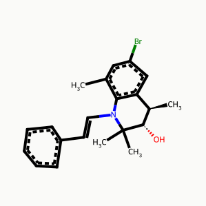 Cc1cc(Br)cc2c1N(/C=C/c1ccccc1)C(C)(C)[C@@H](O)[C@@H]2C